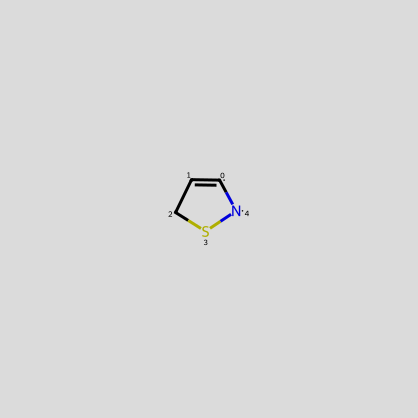 [C]1=CCS[N]1